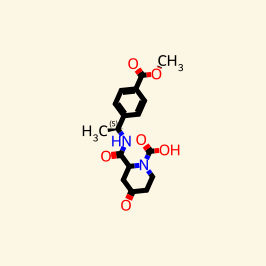 COC(=O)c1ccc([C@H](C)NC(=O)C2CC(=O)CCN2C(=O)O)cc1